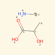 CC(O)C(=O)O.[NH2][Ti]